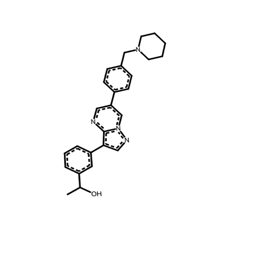 CC(O)c1cccc(-c2cnn3cc(-c4ccc(CN5CCCCC5)cc4)cnc23)c1